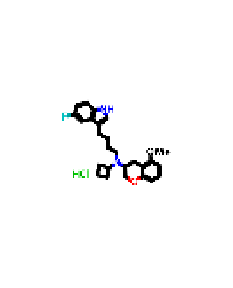 COc1cccc2c1CC(N(CCCCc1c[nH]c3ccc(F)cc13)C1CCC1)CO2.Cl